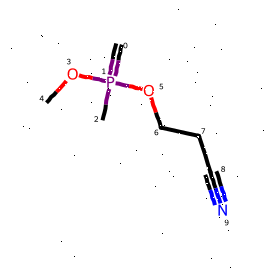 C=P(C)(OC)OCCC#N